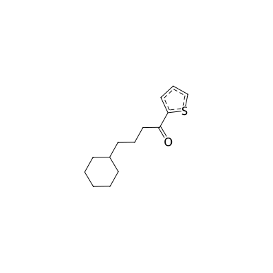 O=C(CCCC1CCCCC1)c1cccs1